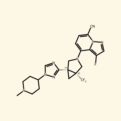 CN1CCC(n2cnc([C@]34CN(c5ccc(C#N)n6ncc(F)c56)C[C@@]3(C(F)(F)F)C4)n2)CC1